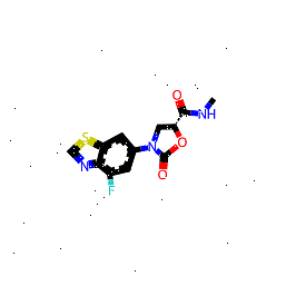 CNC(=O)[C@H]1CN(c2cc(F)c3ncsc3c2)C(=O)O1